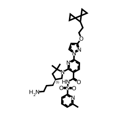 Cc1cccc(S(=O)(=O)NC(=O)c2ccc(-n3ccc(OCCC4C5(CC5)C45CC5)n3)nc2N2C[C@@H](CCCN)CC2(C)C)n1